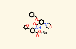 CC(C)(C)OC(=O)c1ccc(-c2ccco2)cc1NC(=O)c1cc(N2CCOCC2)ccc1OCc1ccccc1